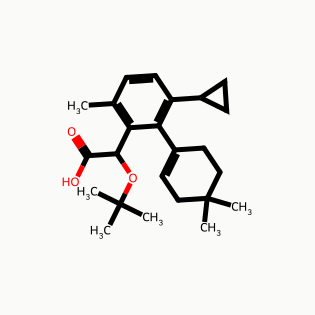 Cc1ccc(C2CC2)c(C2=CCC(C)(C)CC2)c1C(OC(C)(C)C)C(=O)O